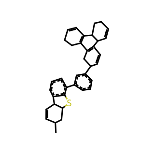 CC1C=CC2c3cccc(-c4cccc(C5C=CC6=C(C5)C5=C(C=CCC5)C5CCC=CC65)c4)c3SC2C1